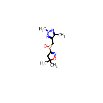 Cc1nn(C)nc1C[S+]([O-])C1=NOC(C)(C)C1